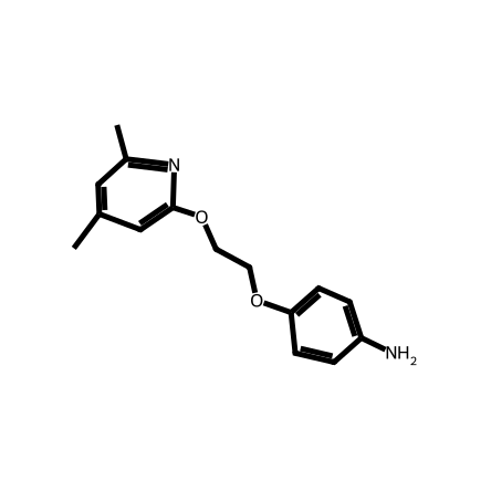 Cc1cc(C)nc(OCCOc2ccc(N)cc2)c1